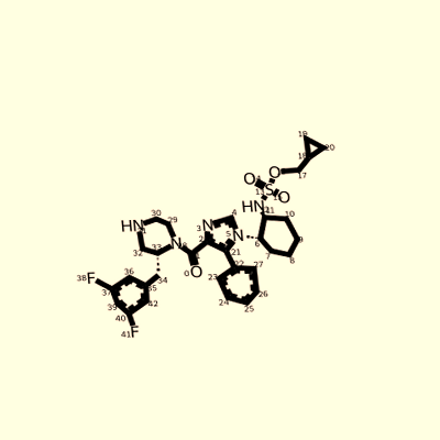 O=C(c1ncn([C@H]2CCCC[C@@H]2NS(=O)(=O)OCC2CC2)c1-c1ccccc1)N1CCNC[C@H]1Cc1cc(F)cc(F)c1